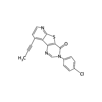 CC#Cc1ccnc2sc3c(=O)n(-c4ccc(Cl)cc4)cnc3c12